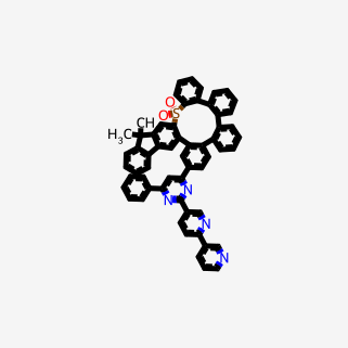 CC1(C)c2ccccc2-c2cc3c(cc21)S(=O)(=O)c1ccccc1-c1ccccc1-c1ccccc1-c1ccc(-c2cc(-c4ccccc4)nc(-c4ccc(-c5cccnc5)nc4)n2)cc1-3